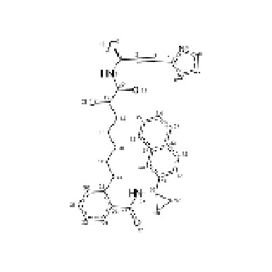 C[C@@H](C#Cc1nccs1)NC(=O)C(=O)CCCCCc1ccccc1C(=O)NC1(c2ccc3ccccc3c2)CC1